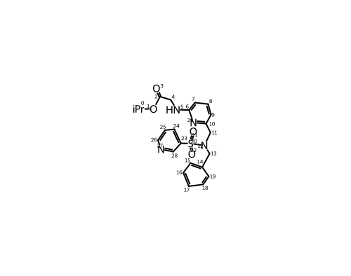 CC(C)OC(=O)CNc1cccc(CN(Cc2ccccc2)S(=O)(=O)c2cccnc2)n1